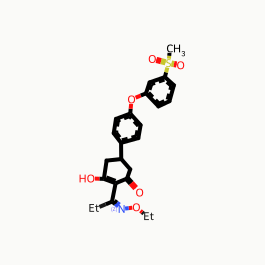 CCO/N=C(/CC)C1=C(O)CC(c2ccc(Oc3cccc(S(C)(=O)=O)c3)cc2)CC1=O